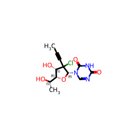 CC#CC1(Cl)[C@@H](O)[C@@H]([C@H](C)O)O[C@H]1n1cnc(=O)[nH]c1=O